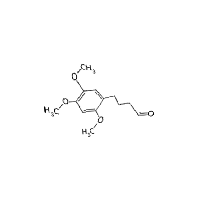 COc1cc(OC)c(OC)cc1CCCC=O